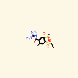 CCS(=O)(=O)c1cc(C)c(C(=O)N=C(N)N)cc1S(C)(=O)=O